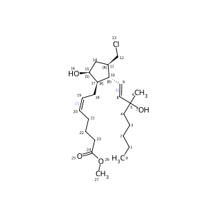 CCCCCC(C)(O)/C=C/[C@H]1[C@H](CCl)C[C@H](O)[C@@H]1C/C=C\CCCC(=O)OC